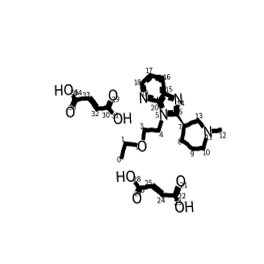 CCOCCn1c([C@@H]2CCCN(C)C2)nc2cccnc21.O=C(O)/C=C/C(=O)O.O=C(O)/C=C/C(=O)O